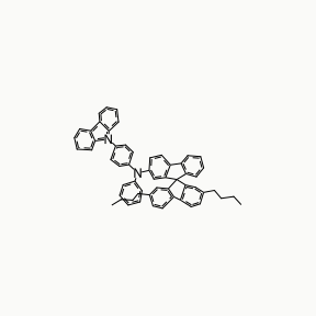 CCCCc1ccc2c(c1)C1(c3ccccc3-c3ccc(N(c4ccccc4)c4ccc(-n5c6ccccc6c6ccccc65)cc4)cc31)c1cc(CCCC)ccc1-2